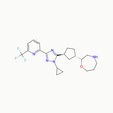 FC(F)(F)c1cccc(-c2nc([C@H]3CC[C@H](C4CNCCCO4)C3)n(C3CC3)n2)n1